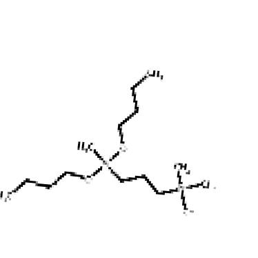 CCCCO[Si](C)(CCC[N+](C)(C)C)OCCCC